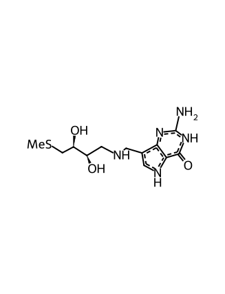 CSC[C@@H](O)[C@H](O)CNCc1c[nH]c2c(=O)[nH]c(N)nc12